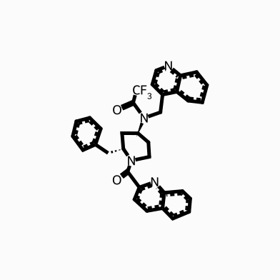 O=C(c1ccc2ccccc2n1)N1CC[C@H](N(Cc2ccnc3ccccc23)C(=O)C(F)(F)F)C[C@H]1Cc1ccccc1